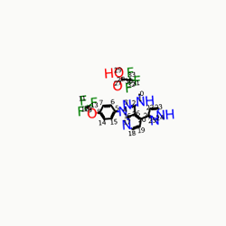 CNc1nn(-c2ccc(OC(F)(F)F)cc2)c2nccc(-c3cc[nH]n3)c12.O=C(O)C(F)(F)F